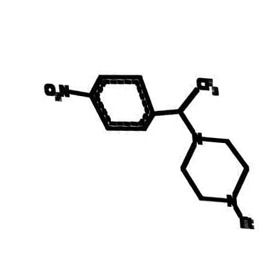 CCN1CCN(C(c2ccc([N+](=O)[O-])cc2)C(F)(F)F)CC1